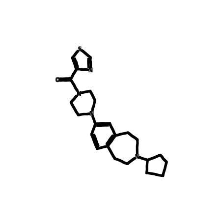 O=C(c1cscn1)N1CCN(c2ccc3c(c2)CCN(C2CCCC2)CC3)CC1